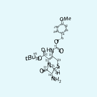 COc1ccc(COC(=O)NC2=C(C(=O)OC(C)(C)C)N3C(=O)C(N)[C@@H]3SC2)cc1